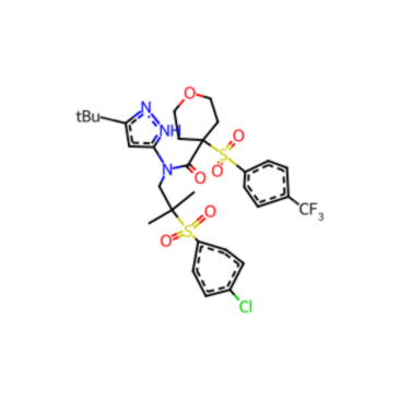 CC(C)(C)c1cc(N(CC(C)(C)S(=O)(=O)c2ccc(Cl)cc2)C(=O)C2(S(=O)(=O)c3ccc(C(F)(F)F)cc3)CCOCC2)[nH]n1